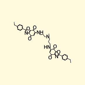 CCc1ccc(-c2nc3c(o2)C(=O)C(NCCCN(C)CCCNC2=CC(=O)c4nc(-c5ccc(CC)cc5)oc4C2=O)=CC3=O)cc1